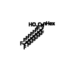 CCCCCCN(CC(F)(F)C(F)(F)C(F)(F)C(F)(F)C(F)(F)C(F)(F)C(F)(F)C(F)F)C(=O)O